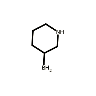 BC1CCCNC1